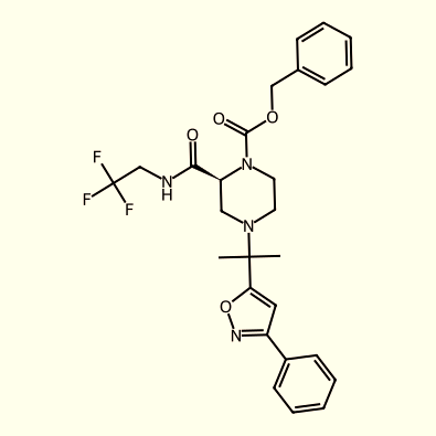 CC(C)(c1cc(-c2ccccc2)no1)N1CCN(C(=O)OCc2ccccc2)[C@H](C(=O)NCC(F)(F)F)C1